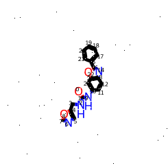 O=C(NCc1cnco1)Nc1ccc2nc(-c3ccccc3)oc2c1